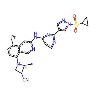 CC(C)c1ccc(N2CC(C#N)[C@@H]2C)c2cnc(Nc3ccnc(-c4cnn(S(=O)(=O)C5CC5)c4)n3)cc12